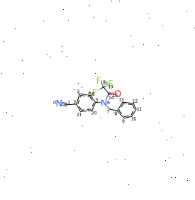 N#Cc1ccc(N(Cc2ccccc2)C(=O)C(F)(F)F)cc1